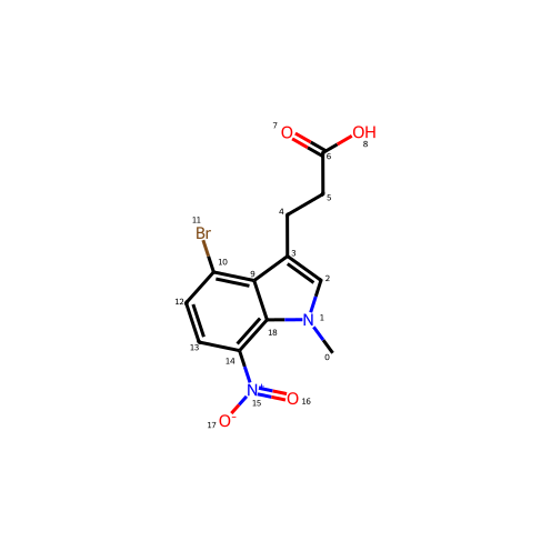 Cn1cc(CCC(=O)O)c2c(Br)ccc([N+](=O)[O-])c21